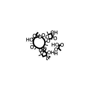 CC(O)C(=O)O.CC[C@H]1OC(=O)[C@H](C)[C@@H](O[C@H]2C[C@@](C)(OC)[C@@H](O)[C@H](C)O2)[C@@H](C)[C@@H](O[C@@H]2O[C@H](C)C[C@H](N(C)C)[C@H]2O)[C@](C)(O)C[C@@H](C)C(=O)[C@H](C)[C@H](O)[C@]1(C)O